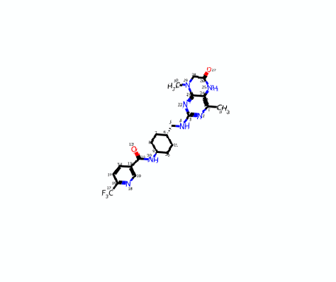 Cc1nc(NC[C@H]2CC[C@H](NC(=O)c3ccc(C(F)(F)F)nc3)CC2)nc2c1NC(=O)CN2C